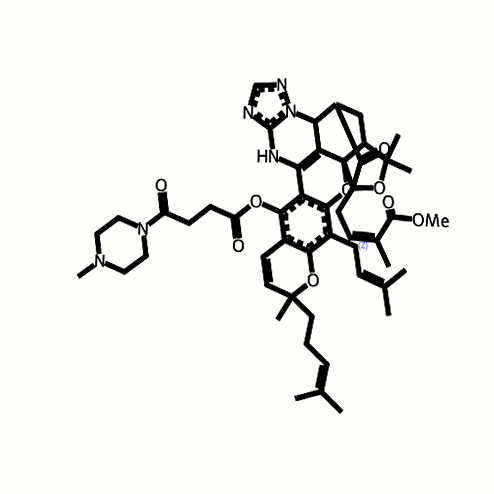 COC(=O)/C(C)=C\CC12OC(C)(C)C3CC(C1=O)C1C4=C(Nc5ncnn51)c1c(OC(=O)CCC(=O)N5CCN(C)CC5)c5c(c(CC=C(C)C)c1OC432)OC(C)(CCC=C(C)C)C=C5